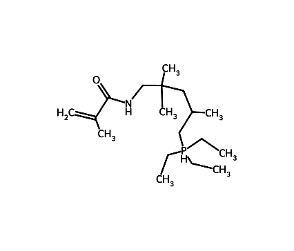 C=C(C)C(=O)NCC(C)(C)CC(C)C[PH](CC)(CC)CC